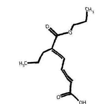 CCCOC(=O)C(=CC=CC(=O)O)CCC